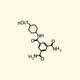 CCCCCCCCC1CCC(NC(=O)c2cc(C(N)=O)cc(C(N)=O)c2)CC1